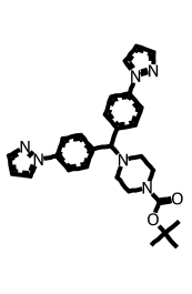 CC(C)(C)OC(=O)N1CCN(C(c2ccc(-n3cccn3)cc2)c2ccc(-n3cccn3)cc2)CC1